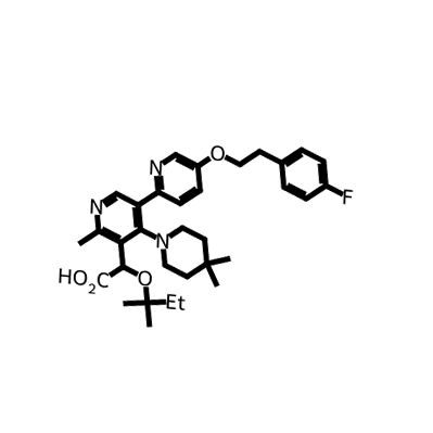 CCC(C)(C)OC(C(=O)O)c1c(C)ncc(-c2ccc(OCCc3ccc(F)cc3)cn2)c1N1CCC(C)(C)CC1